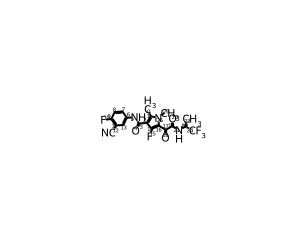 Cc1c(C(=O)Nc2ccc(F)c(C#N)c2)c(F)c(C(=O)C(=O)N[C@@H](C)C(F)(F)F)n1C